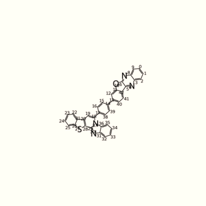 c1ccc2nc3c(nc2c1)oc1cc(-c2ccc(-c4cc5c6ccccc6sc5c5nc6ccccc6n45)cc2)ccc13